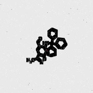 Cc1noc2cc(NC(c3ccccc3)(c3ccccc3)c3ccccc3)c(C=O)cc12